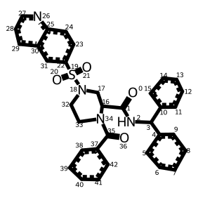 O=C(NC(c1ccccc1)c1ccccc1)C1CN(S(=O)(=O)c2ccc3ncccc3c2)CCN1C(=O)c1ccccc1